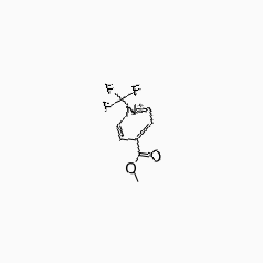 COC(=O)c1cc[n+](C(F)(F)F)cc1